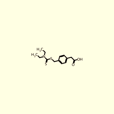 CCN(CC)C(=S)SCc1ccc(CC(=O)O)cc1